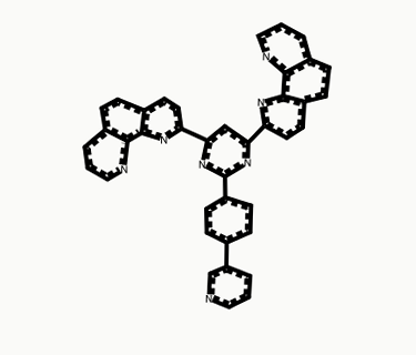 c1cncc(-c2ccc(-c3nc(-c4ccc5ccc6cccnc6c5n4)cc(-c4ccc5ccc6cccnc6c5n4)n3)cc2)c1